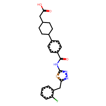 O=C(O)CC1CCC(c2ccc(C(=O)Nc3nnc(Cc4ccccc4F)s3)cc2)CC1